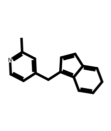 Cc1cc(CC2=C3C=CCC=C3C=C2)ccn1